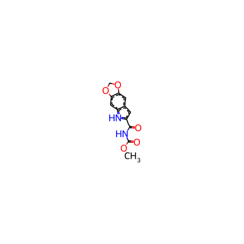 COC(=O)NC(=O)c1cc2cc3c(cc2[nH]1)OCO3